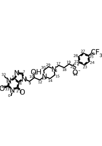 Cn1c(=O)c2c(ncn2CC(O)CN2CCN(CCC[S+]([O-])c3ccc(C(F)(F)F)cc3)CC2)n(C)c1=O